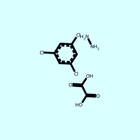 Clc1cc(Cl)cc(Cl)c1.NN.O=C(O)C(=O)O